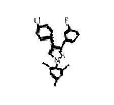 Cc1cc(C)c(-n2cc(-c3ccc(Cl)cc3)c(-c3cccc(F)c3)n2)c(C)c1